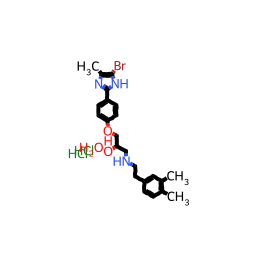 Cc1ccc(CCNCC(O)COc2ccc(-c3nc(C)c(Br)[nH]3)cc2)cc1C.Cl.Cl.O